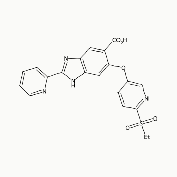 CCS(=O)(=O)c1ccc(Oc2cc3[nH]c(-c4ccccn4)nc3cc2C(=O)O)cn1